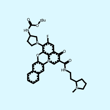 CN1CCCC1CCNC(=O)c1cn2c3c(c(N4CCC(NC(=O)OC(C)(C)C)C4)c(F)cc3c1=O)Oc1cc3ccccc3cc1-2